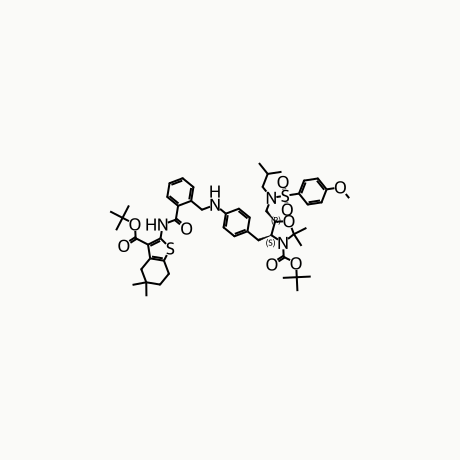 COc1ccc(S(=O)(=O)N(CC(C)C)C[C@H]2OC(C)(C)N(C(=O)OC(C)(C)C)[C@H]2Cc2ccc(NCc3ccccc3C(=O)Nc3sc4c(c3C(=O)OC(C)(C)C)CC(C)(C)CC4)cc2)cc1